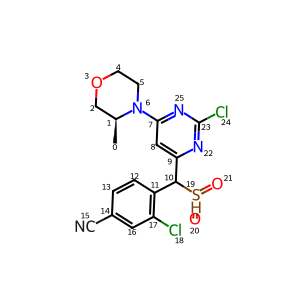 C[C@H]1COCCN1c1cc(C(c2ccc(C#N)cc2Cl)[SH](=O)=O)nc(Cl)n1